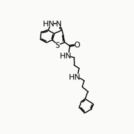 O=C(NCCCNCCCc1ccccc1)C1=Cc2n[nH]c3cccc(c23)S1